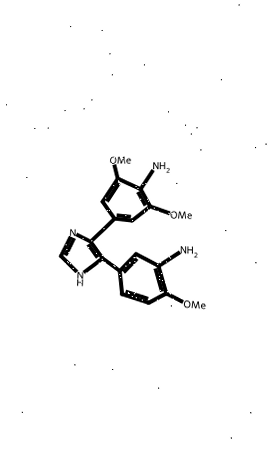 COc1ccc(-c2[nH]cnc2-c2cc(OC)c(N)c(OC)c2)cc1N